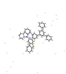 C1=CC2c3cccc(-c4cccc(-c5cc(-c6ccccc6)cc(-c6ccccc6)c5)c4)c3N(c3ccc4sc5ccccc5c4c3)C2C=C1